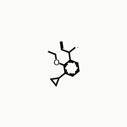 [CH2]C(C=C)c1cccc(C2CC2)c1OCC